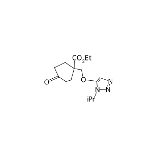 CCOC(=O)C1(COc2cnnn2C(C)C)CCC(=O)CC1